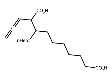 C=C=CC(C(=O)O)C(CCCCCCC)CCCCCCC(=O)O